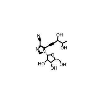 CC(O)C(O)C#Cc1c(C#N)ncn1[C@@H]1O[C@H](CO)[C@@H](O)[C@H]1O